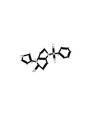 O=c1ccc2c(ccn2S(=O)(=O)c2ccccc2)n1-c1ccsc1